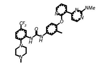 CNc1nccc(-c2cccnc2Oc2ccc(NC(=O)Nc3cc(C(F)(F)F)ccc3N3CCN(C)CC3)cc2C)n1